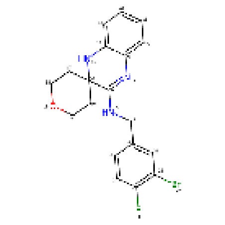 Fc1ccc(CNC2=Nc3ccccc3NC23CCOCC3)cc1Br